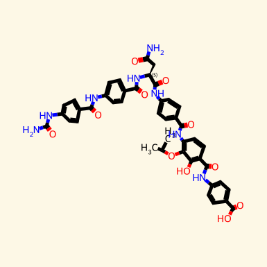 CC(C)Oc1c(NC(=O)c2ccc(NC(=O)[C@H](CC(N)=O)NC(=O)c3ccc(NC(=O)c4ccc(NC(N)=O)cc4)cc3)cc2)ccc(C(=O)Nc2ccc(C(=O)O)cc2)c1O